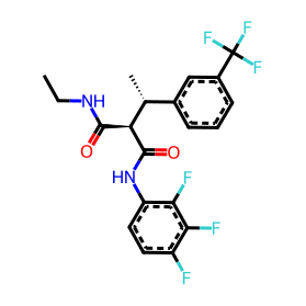 CCNC(=O)[C@H](C(=O)Nc1ccc(F)c(F)c1F)[C@H](C)c1cccc(C(F)(F)F)c1